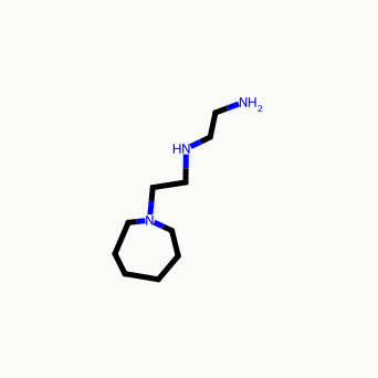 NCCNCCN1CCCCCC1